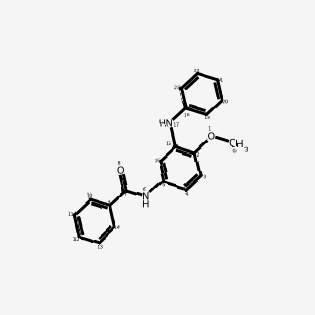 COc1ccc(NC(=O)c2ccccc2)cc1Nc1ccccc1